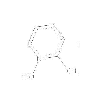 CCCC[n+]1ccccc1C.[I-]